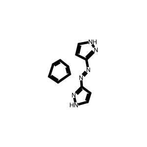 c1cc(N=Nc2cc[nH]n2)n[nH]1.c1ccccc1